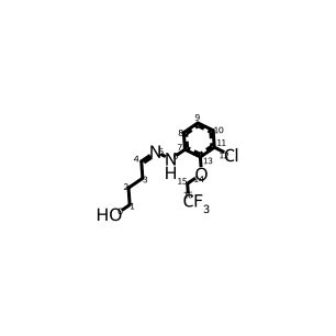 OCCC/C=N\Nc1cccc(Cl)c1OCC(F)(F)F